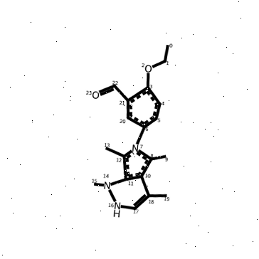 CCOc1ccc(-n2c(C)c3c(c2C)N(C)NC=C3C)cc1C=O